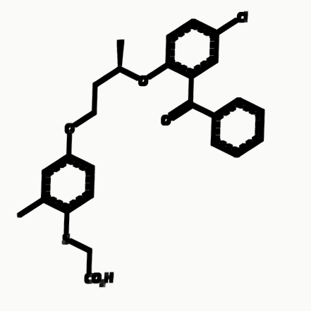 Cc1cc(OCC[C@@H](C)Oc2ccc(Cl)cc2C(=O)c2ccccc2)ccc1SCC(=O)O